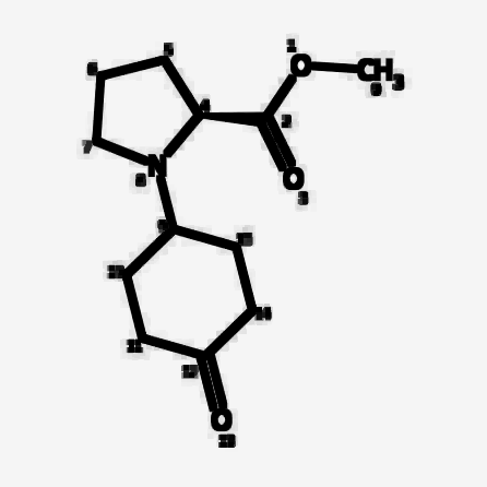 COC(=O)[C@@H]1CCCN1C1CCC(=O)CC1